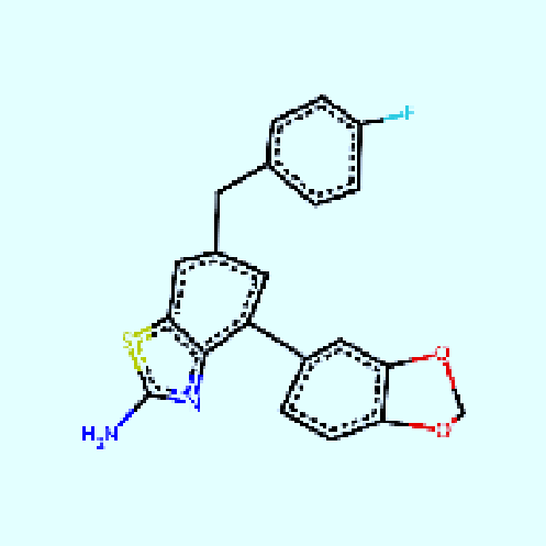 Nc1nc2c(-c3ccc4c(c3)OCO4)cc(Cc3ccc(F)cc3)cc2s1